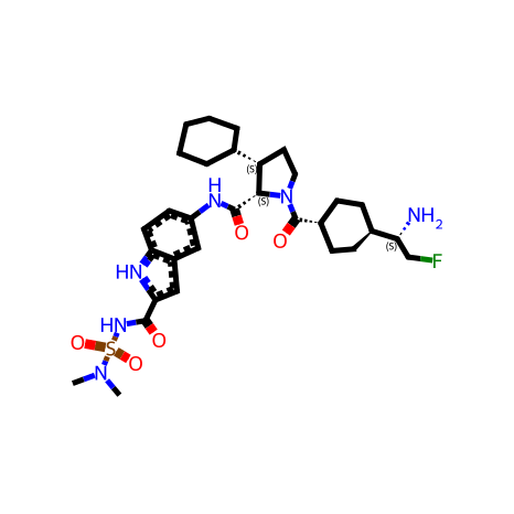 CN(C)S(=O)(=O)NC(=O)c1cc2cc(NC(=O)[C@@H]3[C@H](C4CCCCC4)CCN3C(=O)[C@H]3CC[C@H]([C@H](N)CF)CC3)ccc2[nH]1